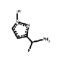 CC(C)n1ccc(C(F)P)n1